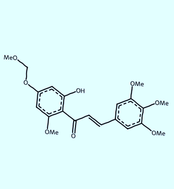 COCOc1cc(O)c(C(=O)/C=C/c2cc(OC)c(OC)c(OC)c2)c(OC)c1